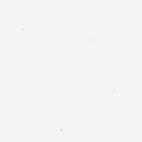 CCC1C/C(=C\c2c(OC)cccc2OC)C(=O)/C(=C/c2c(OC)cccc2OC)C1